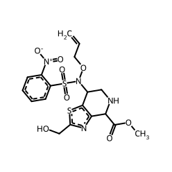 C=CCON(C1CNC(C(=O)OC)c2nc(CO)sc21)S(=O)(=O)c1ccccc1[N+](=O)[O-]